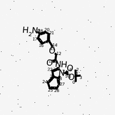 CC(C)(C)OC(=O)n1c(NC(=O)COCc2ccc(N)cc2)cc2ccccc21